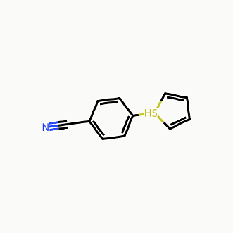 N#Cc1ccc([SH]2C=CC=C2)cc1